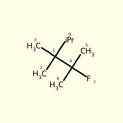 CC(C)C(C)(C)C(C)(C)F